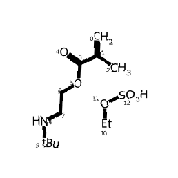 C=C(C)C(=O)OCCNC(C)(C)C.CCOS(=O)(=O)O